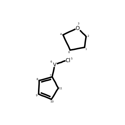 C1CCOC1.[Cl][V][C]1=CC=CC1